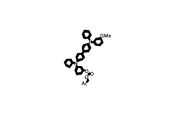 COc1cccc(N(c2ccccc2)c2ccc(-c3ccc(N(c4ccccc4)c4cccc(OC(=O)OCC(C)=O)c4)cc3)cc2)c1